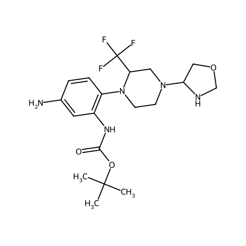 CC(C)(C)OC(=O)Nc1cc(N)ccc1N1CCN(C2COCN2)CC1C(F)(F)F